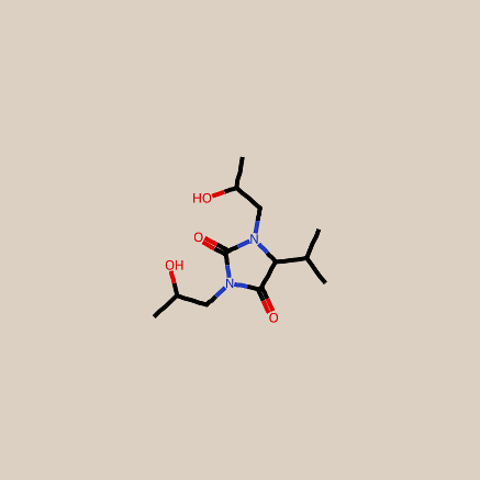 CC(O)CN1C(=O)C(C(C)C)N(CC(C)O)C1=O